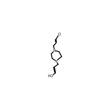 OC=CCN1CCN(CC=CCl)CC1